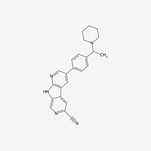 CC(c1ccc(-c2cnc3[nH]c4cnc(C#N)cc4c3c2)cc1)N1CCCCC1